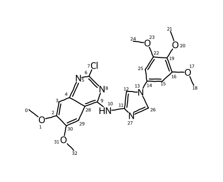 COc1cc2nc(Cl)nc(Nc3cn(-c4cc(OC)c(OC)c(OC)c4)cn3)c2cc1OC